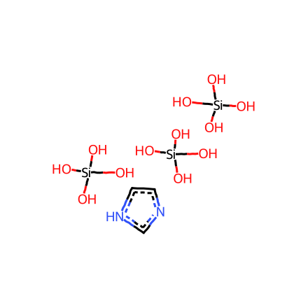 O[Si](O)(O)O.O[Si](O)(O)O.O[Si](O)(O)O.c1c[nH]cn1